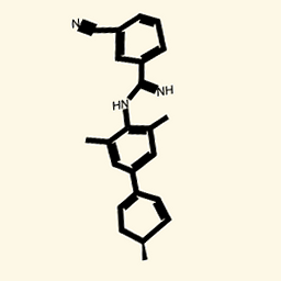 Cc1cc(C2=CC[C@H](C)C=C2)cc(C)c1NC(=N)c1cccc(C#N)c1